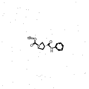 CC(C)(C)OC(=O)N1CC[C@@H](C(=O)Nc2ccccc2)C1